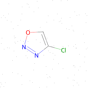 Clc1conn1